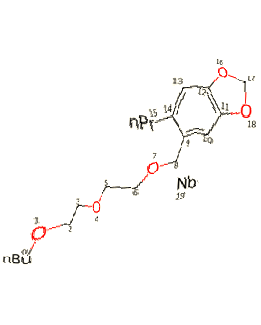 CCCCOCCOCCOCc1cc2c(cc1CCC)OCO2.[Nb]